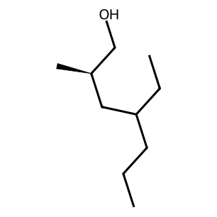 CCCC(CC)C[C@@H](C)CO